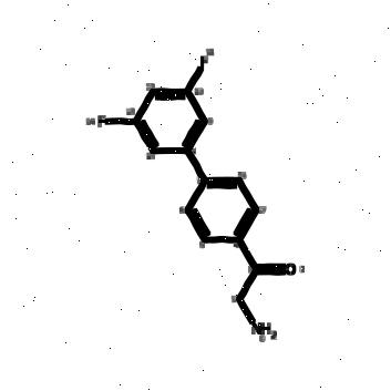 NCC(=O)c1ccc(-c2cc(F)cc(F)c2)cc1